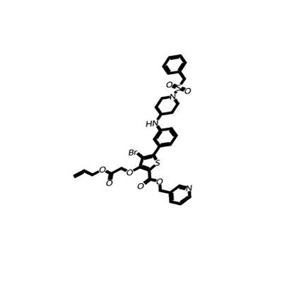 C=CCOC(=O)COc1c(C(=O)OCc2cccnc2)sc(-c2cccc(NC3CCN(S(=O)(=O)Cc4ccccc4)CC3)c2)c1Br